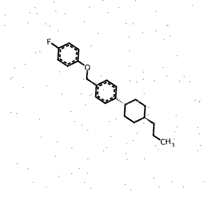 CCC[C@H]1CC[C@H](c2ccc(COc3ccc(F)cc3)cc2)CC1